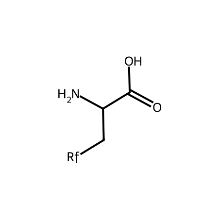 NC([CH2][Rf])C(=O)O